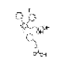 O=C(O)COC[C@H]1CC[C@H](Cn2nc(-c3ccccc3)c(-c3cccc(F)c3)c2CC[C@H](O)CO)CC1